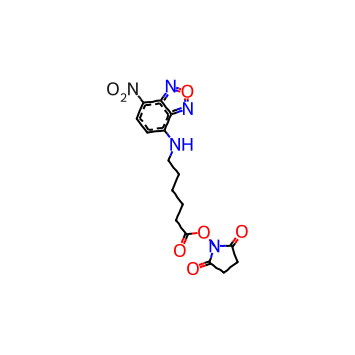 O=C(CCCCCNc1ccc([N+](=O)[O-])c2nonc12)ON1C(=O)CCC1=O